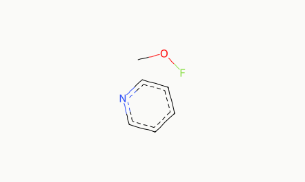 COF.c1ccncc1